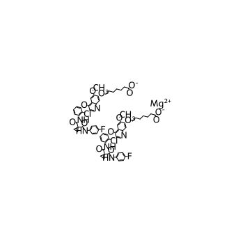 COc1cc2c(Oc3cccc(NC(=O)C4(C(=O)Nc5ccc(F)cc5)CC4)c3Cl)ccnc2cc1OCCCCCCC(=O)[O-].COc1cc2c(Oc3cccc(NC(=O)C4(C(=O)Nc5ccc(F)cc5)CC4)c3Cl)ccnc2cc1OCCCCCCC(=O)[O-].[Mg+2]